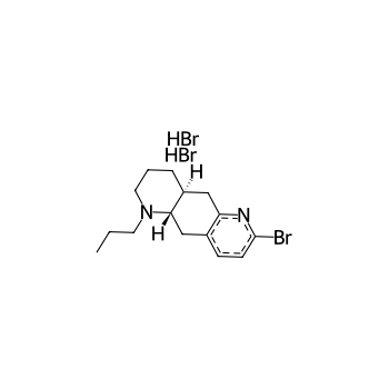 Br.Br.CCCN1CCC[C@H]2Cc3nc(Br)ccc3C[C@@H]21